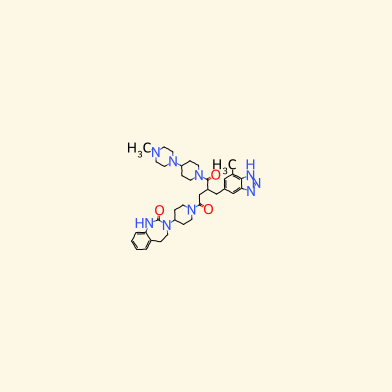 Cc1cc(CC(CC(=O)N2CCC(N3CCc4ccccc4NC3=O)CC2)C(=O)N2CCC(N3CCN(C)CC3)CC2)cc2nn[nH]c12